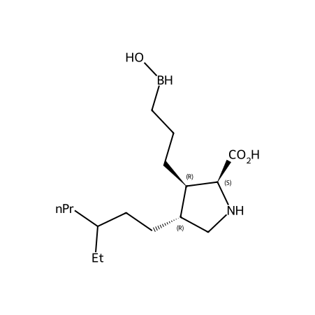 CCCC(CC)CC[C@H]1CN[C@H](C(=O)O)[C@@H]1CCCBO